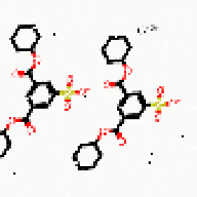 O=C(OC1CCCCC1)c1cc(C(=O)OC2CCCCC2)cc(S(=O)(=O)[O-])c1.O=C(OC1CCCCC1)c1cc(C(=O)OC2CCCCC2)cc(S(=O)(=O)[O-])c1.[Ca+2]